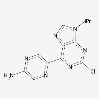 CC(C)n1cnc2c(-c3cnc(N)cn3)nc(Cl)nc21